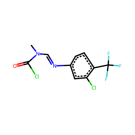 CN(C=Nc1ccc(C(F)(F)F)c(Cl)c1)C(=O)Cl